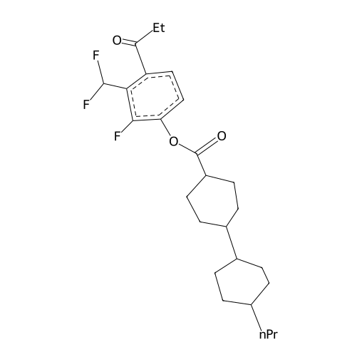 CCCC1CCC(C2CCC(C(=O)Oc3ccc(C(=O)CC)c(C(F)F)c3F)CC2)CC1